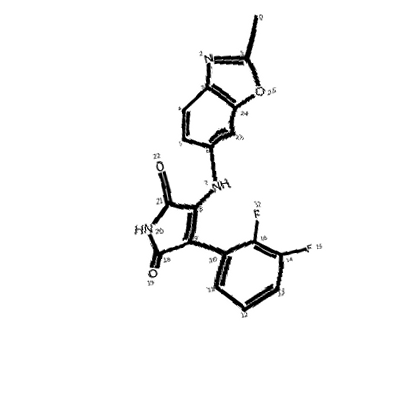 Cc1nc2ccc(NC3=C(c4cccc(F)c4F)C(=O)NC3=O)cc2o1